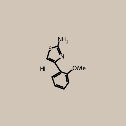 COc1ccccc1-c1csc(N)n1.I